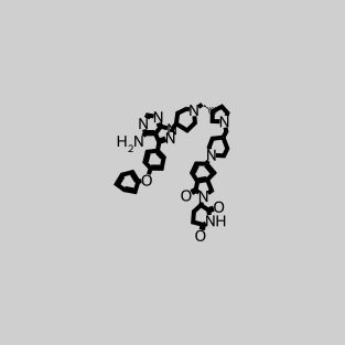 Nc1ncnc2c1c(-c1ccc(Oc3ccccc3)cc1)nn2C1CCN(C[C@@H]2CCN(CC3CCN(c4ccc5c(c4)CN(C4CCC(=O)NC4=O)C5=O)CC3)C2)CC1